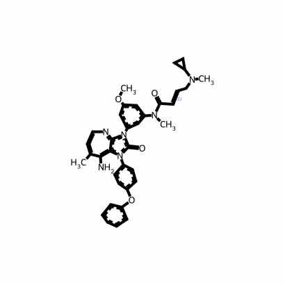 COc1cc(N(C)C(=O)/C=C/CN(C)C2CC2)cc(-n2c3c(n(-c4ccc(Oc5ccccc5)cc4)c2=O)=C(N)C(C)=C=CN=3)c1